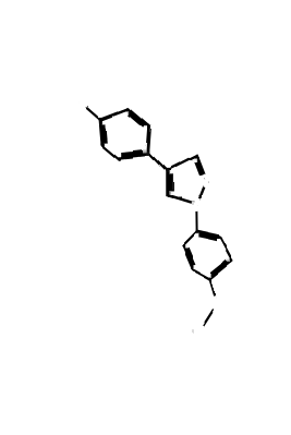 CC(C)Oc1ccc(-n2cc(-c3ccc(C(=O)O)cc3)cn2)cc1